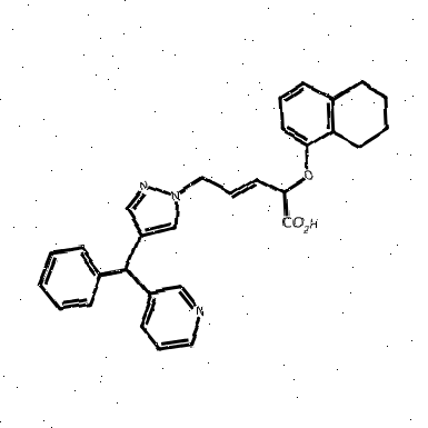 O=C(O)C(C=CCn1cc(C(c2ccccc2)c2cccnc2)cn1)Oc1cccc2c1CCCC2